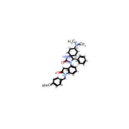 COc1ccc(CN2C(=O)Cc3c2cccc3N2C(=O)NC3(CCC(N(C)C)CC3)[C@H]2c2ccccc2)cc1